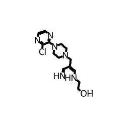 N=C/C(=C\NCCO)CN1CCN(c2nccnc2Cl)CC1